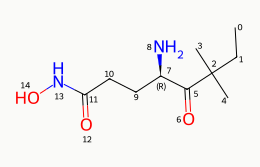 CCC(C)(C)C(=O)[C@H](N)CCC(=O)NO